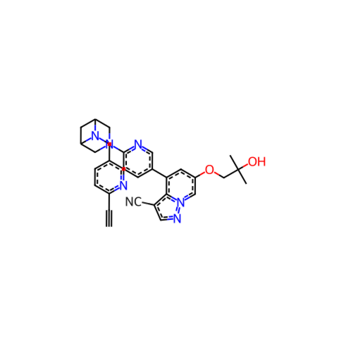 C#Cc1ccc(CN2C3CC2CN(c2ccc(-c4cc(OCC(C)(C)O)cn5ncc(C#N)c45)cn2)C3)cn1